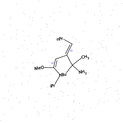 CCC/C=C(\C=C(/CC(C)C)OC)C(C)(N)CCCC